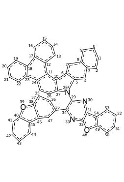 c1ccc2cc3c(cc2c1)c1c2c4ccccc4c4ccccc4c2ccc1n3-c1nc2c(nc1-c1ccc3oc4ccccc4c3c1)oc1ccccc12